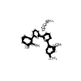 Cc1ccc(-c2cccc(-c3cccc(-c4cccc(F)c4O)n3)n2)c(O)c1.[Cl-].[Cl-].[Cl-].[Mn+3]